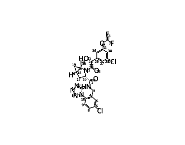 O=C(NCc1cc(Cl)ccc1-n1cnnn1)[C@@H]1C[C@@H]2C[C@@H]2N1C(=O)[C@H](O)c1cc(Cl)cc(OC(F)F)c1